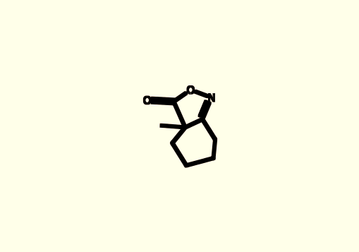 CC12CCCCC1=NOC2=O